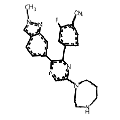 Cn1cc2ccc(-c3ncc(N4CCCNCC4)nc3-c3ccc(C#N)c(F)c3)cc2n1